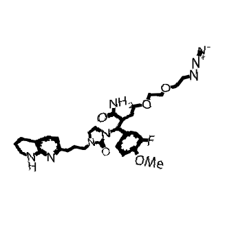 COc1ccc(C(C(CCOCCOCCN=[N+]=[N-])C(N)=O)N2CCN(CCCc3ccc4c(n3)NCCC4)C2=O)cc1F